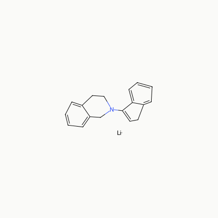 C1=C(N2CCc3ccccc3C2)c2ccccc2C1.[Li]